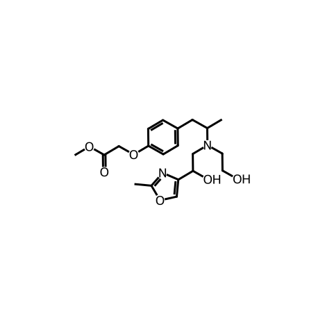 COC(=O)COc1ccc(CC(C)N(CCO)CC(O)c2coc(C)n2)cc1